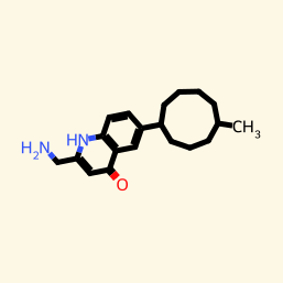 CC1CCCCC(c2ccc3[nH]c(CN)cc(=O)c3c2)CCC1